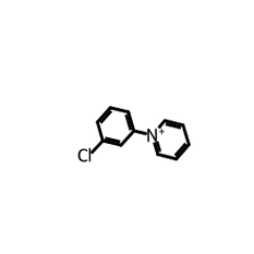 Clc1cccc(-[n+]2ccccc2)c1